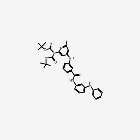 Cc1cc(Nc2cccc(C(=O)Nc3cccc(Nc4ccccc4)c3)c2)cc(N(C(=O)OC(C)(C)C)C(=O)OC(C)(C)C)n1